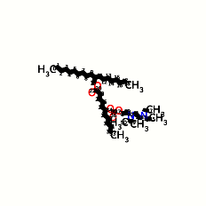 CCCCCCCCCCC(CCCCCCCC)COC(=O)CCCCC(CCCCCC)OC(=O)OCCN(CCN(CC)CC)C(C)C